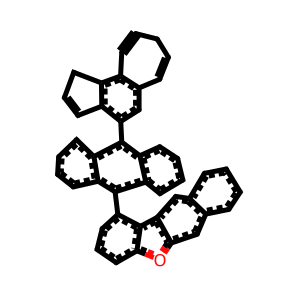 C1#Cc2c(cc(-c3c4ccccc4c(-c4cccc5oc6cc7ccccc7cc6c45)c4ccccc34)c3c2CC=C3)C=CC1